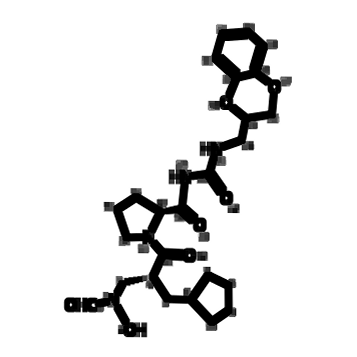 O=CN(O)C[C@@H](CC1CCCC1)C(=O)N1CCC[C@H]1C(=O)NC(=O)NCC1COc2ccccc2O1